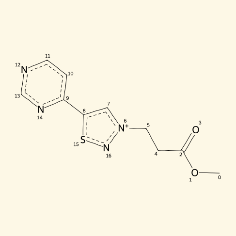 COC(=O)CC[n+]1cc(-c2ccncn2)sn1